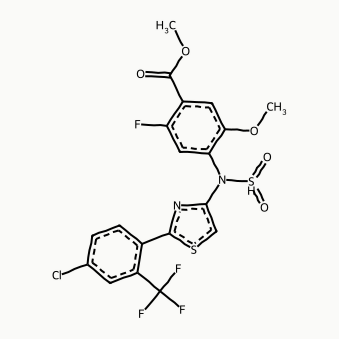 COC(=O)c1cc(OC)c(N(c2csc(-c3ccc(Cl)cc3C(F)(F)F)n2)[SH](=O)=O)cc1F